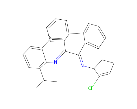 CC(C)c1cccc(C(C)C)c1/N=C1/C(=N/C2CCC=C2Cl)c2ccccc2-c2ccccc21